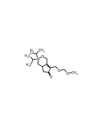 COCOCC1=C2CO[Si](C(C)C)(C(C)C)CC2CC1=O